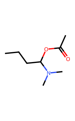 CCCC(OC(C)=O)N(C)C